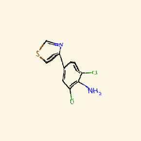 Nc1c(Cl)cc(-c2cscn2)cc1Cl